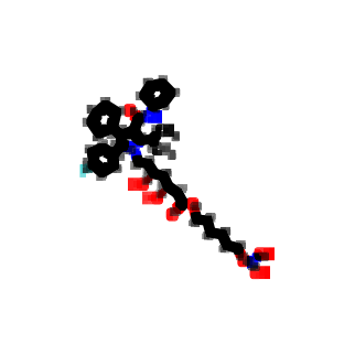 CC(C)c1c(C(=O)Nc2ccccc2)c(-c2ccccc2)c(-c2ccc(F)cc2)n1CC[C@@H](O)C[C@@H](O)CC(=O)OCCCCCCON(O)O